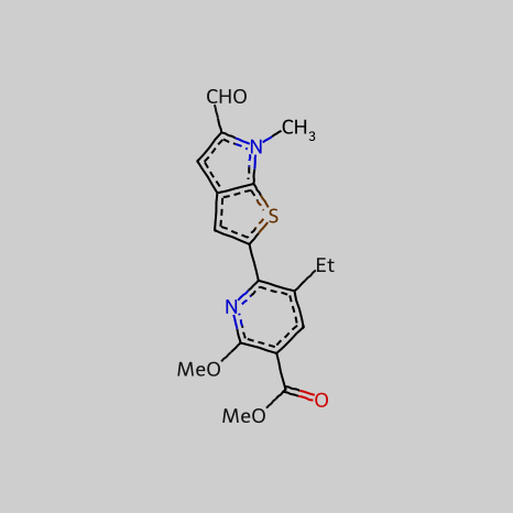 CCc1cc(C(=O)OC)c(OC)nc1-c1cc2cc(C=O)n(C)c2s1